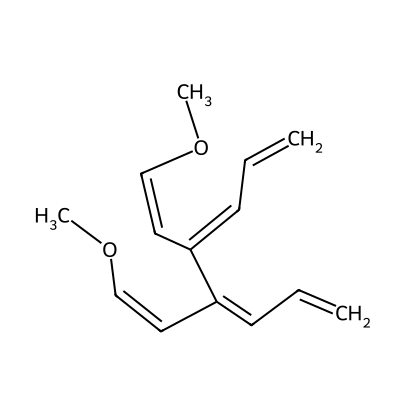 C=CC=C(/C=C\OC)C(/C=C\OC)=C/C=C